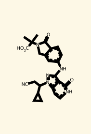 CC(C)(C(=O)O)N1Cc2cc(Nc3nn(C(CC#N)C4CC4)c4cc[nH]c(=O)c34)ccc2C1=O